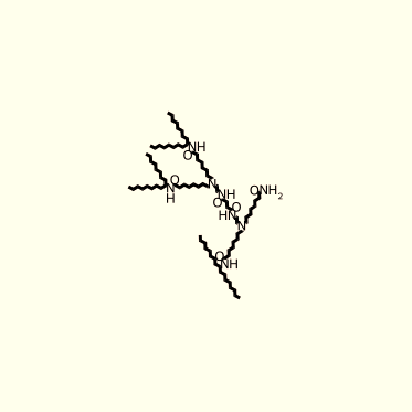 CCCCCCCCC(CCCCCCCC)NC(=O)CCCCCCCN(CCCCCCCC(N)=O)CCNC(=O)CCC(=O)NCCN(CCCCCCCC(=O)NC(CCCCCCCC)CCCCCCCC)CCCCCCCC(=O)NC(CCCCCCCC)CCCCCCCC